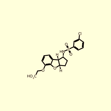 O=C(O)COc1cccc2c1O[C@H]1CC[C@H](NS(=O)(=O)c3cccc(Cl)c3)[C@@H]21